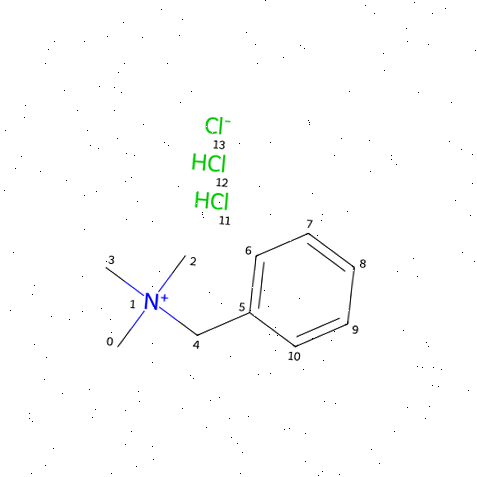 C[N+](C)(C)Cc1ccccc1.Cl.Cl.[Cl-]